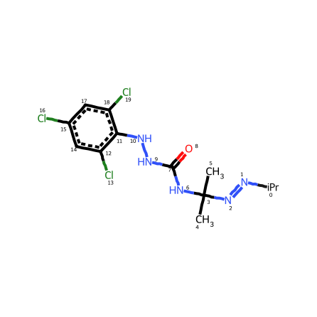 CC(C)N=NC(C)(C)NC(=O)NNc1c(Cl)cc(Cl)cc1Cl